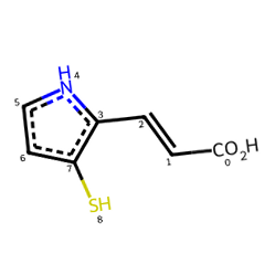 O=C(O)C=Cc1[nH]ccc1S